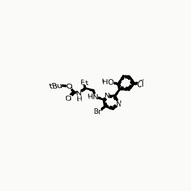 CCC(CNc1nc(-c2cc(Cl)ccc2O)ncc1Br)NC(=O)OC(C)(C)C